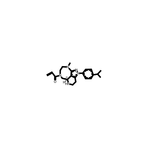 C=CC(=O)N1CCN(C)c2nn(-c3ccc(C(C)C)cc3)c3c2[C@H](C1)NCC3